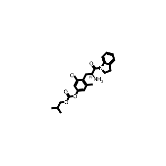 Cc1cc(OC(=O)OCC(C)C)cc(Cl)c1C[C@H](N)C(=O)N1CCc2ccccc21